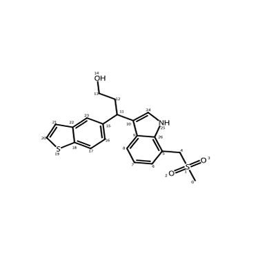 CS(=O)(=O)Cc1cccc2c(C(CCO)c3ccc4sccc4c3)c[nH]c12